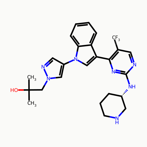 CC(C)(O)Cn1cc(-n2cc(-c3nc(N[C@H]4CCCNC4)ncc3C(F)(F)F)c3ccccc32)cn1